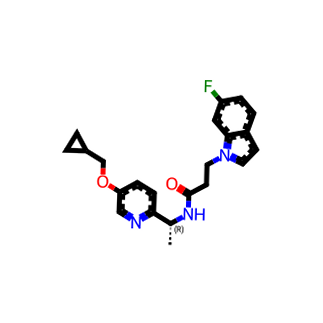 C[C@@H](NC(=O)CCn1ccc2ccc(F)cc21)c1ccc(OCC2CC2)cn1